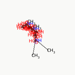 CCCCCCCCCCCCC/C=C/[C@@H](O)[C@H](CO[C@@H]1OC(CO)[C@@H](O[C@@H]2OC(CO)[C@H](O)[C@H](O[C@@H]3OC(CO)[C@@H](O)[C@H](O[C@@H]4OC(CO)[C@H](O)[C@H](O[C@@H]5OC(CO)[C@@H](O[C@@H]6OC(CO)[C@H](O)[C@H](O)C6O)[C@H](O)C5NC(C)=O)C4O)C3NC(C)=O)C2O)[C@H](O)C1O)NC(=O)CCCCCCCCCCCCCCC